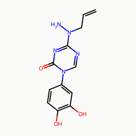 C=CCN(N)c1ncn(-c2ccc(O)c(O)c2)c(=O)n1